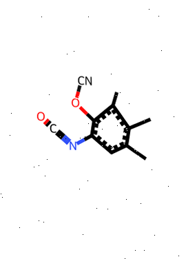 Cc1cc(N=C=O)c(OC#N)c(C)c1C